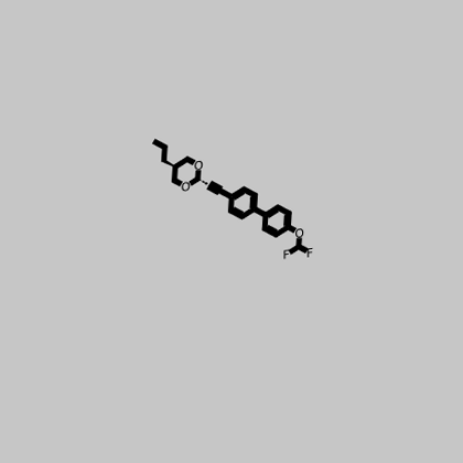 CCC[C@H]1CO[C@H](C#Cc2ccc(-c3ccc(OC(F)F)cc3)cc2)OC1